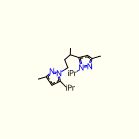 Cc1cc(C(C)C)n(CCC(C)c2cc(C)nn2C(C)C)n1